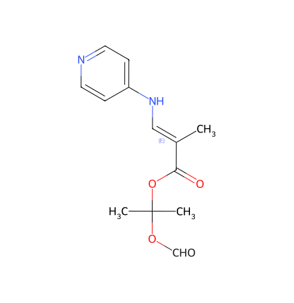 C/C(=C\Nc1ccncc1)C(=O)OC(C)(C)OC=O